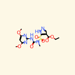 CCOC(=O)c1cn[nH]c1S(=O)(=O)N(C)C(=O)Nc1nc(OC)cc(OC)n1